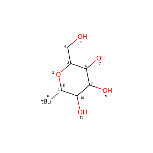 CC(C)(C)[C@@H]1OC(CO)C(O)C(O)C1O